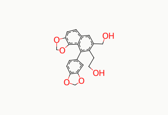 OCCc1c(CO)cc2ccc3c(c2c1-c1ccc2c(c1)OCO2)OCO3